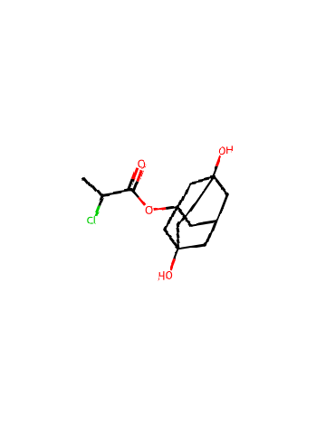 CC(Cl)C(=O)OC12CC3CC(O)(CC(O)(C3)C1)C2